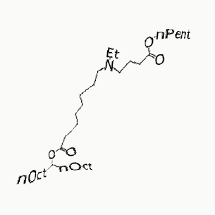 CCCCCCCCC(CCCCCCCC)OC(=O)CCCCCCCN(CC)CCCC(=O)OCCCCC